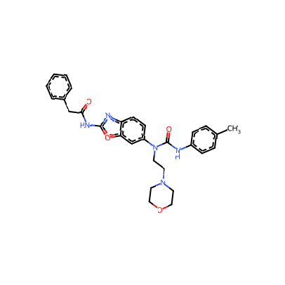 Cc1ccc(NC(=O)N(CCN2CCOCC2)c2ccc3nc(NC(=O)Cc4ccccc4)oc3c2)cc1